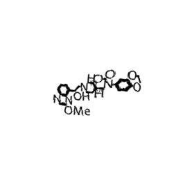 COc1cnc2cccc(C(O)CN3CC[C@@H]4CN(c5ccc6c(c5)OCCO6)C(=O)O[C@H]4C3)c2n1